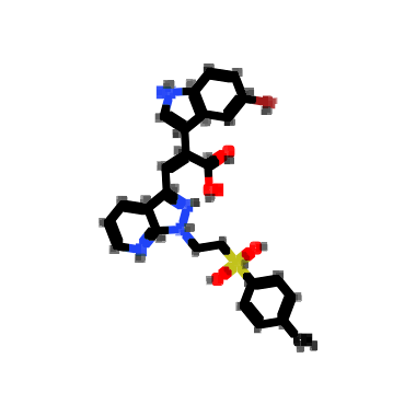 Cc1ccc(S(=O)(=O)CCn2nc(C=C(C(=O)O)c3c[nH]c4ccc(Br)cc34)c3cccnc32)cc1